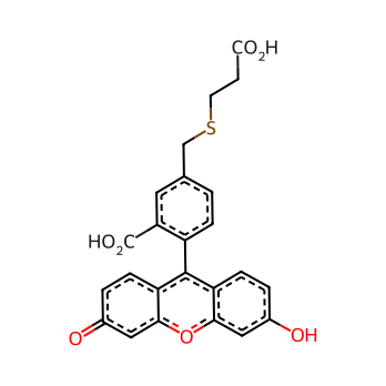 O=C(O)CCSCc1ccc(-c2c3ccc(=O)cc-3oc3cc(O)ccc23)c(C(=O)O)c1